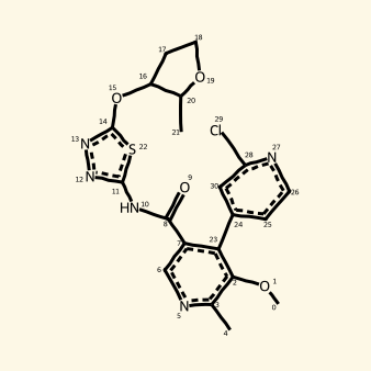 COc1c(C)ncc(C(=O)Nc2nnc(OC3CCOC3C)s2)c1-c1ccnc(Cl)c1